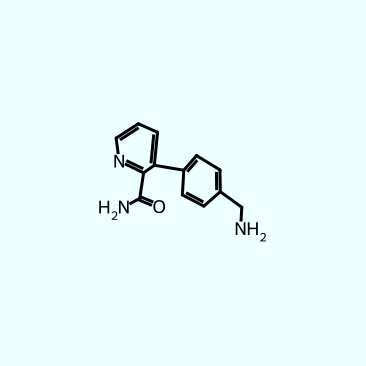 NCc1ccc(-c2cccnc2C(N)=O)cc1